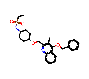 CCS(=O)(=O)N[C@H]1CC[C@H](OCc2nc3ccccc3c(OCc3ccccc3)c2C)CC1